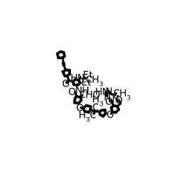 CCC(C)(CC)Nc1cc(NC(=O)c2ccc(Oc3ccc(C(C)(C)c4ccc(Oc5ccc6c(c5)C(=O)N(C(C)c5nc[nH]n5)OC6)cc4)cc3)cc2C=O)cc(C(=O)c2ccc(C#Cc3ccccc3)cc2)c1